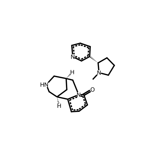 CN1CCC[C@H]1c1cccnc1.O=c1cccc2n1C[C@@H]1CNC[C@H]2C1